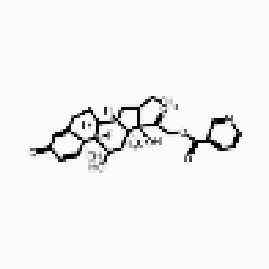 CCC1C[C@H]2[C@@H]3CCC4=CC(=O)C=C[C@]4(C)[C@@]3(F)C(O)C[C@]2(C)[C@@]1(O)C(=O)COC(=O)c1cccnc1